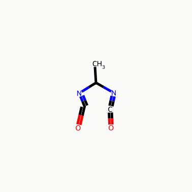 C[C](N=C=O)N=C=O